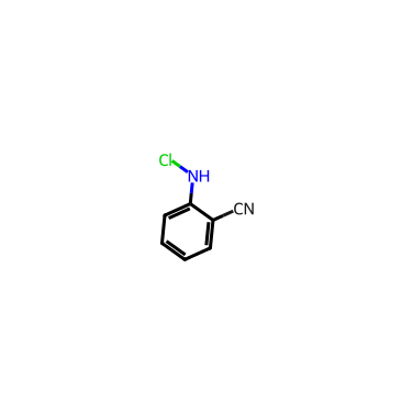 N#Cc1ccccc1NCl